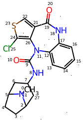 CN1C2CCC1CC(NC(=O)N1c3ccccc3NC(=O)c3csc(Cl)c31)C2